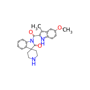 COc1ccc2[nH]c(C(=O)N3C(=O)C4(CCNCC4)c4ccccc43)c(C)c2c1